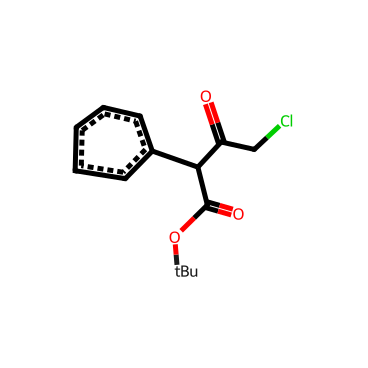 CC(C)(C)OC(=O)C(C(=O)CCl)c1ccccc1